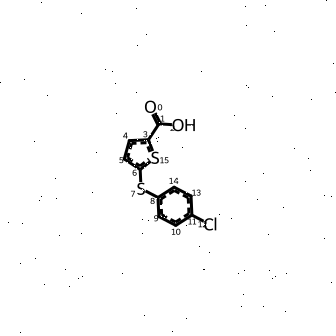 O=C(O)c1ccc(Sc2ccc(Cl)cc2)s1